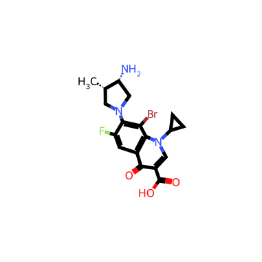 C[C@H]1CN(c2c(F)cc3c(=O)c(C(=O)O)cn(C4CC4)c3c2Br)C[C@H]1N